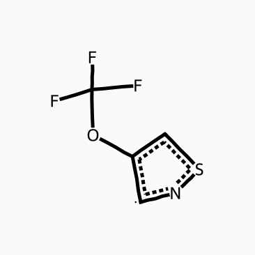 FC(F)(F)Oc1[c]nsc1